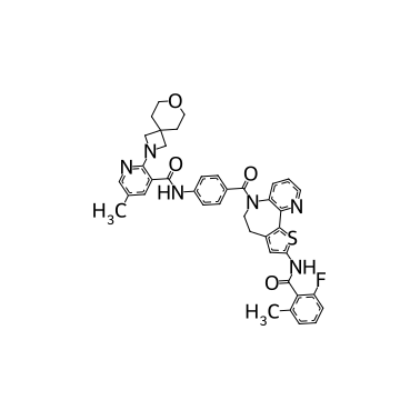 Cc1cnc(N2CC3(CCOCC3)C2)c(C(=O)Nc2ccc(C(=O)N3CCc4cc(NC(=O)c5c(C)cccc5F)sc4-c4ncccc43)cc2)c1